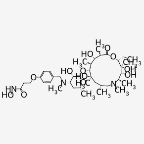 CC[C@H]1OC(=O)[C@H](C)[C@@H](O)[C@H](C)[C@@H](O[C@@H]2O[C@H](C)C[C@H](N(C)Cc3ccc(OCCC(=O)NO)cc3)[C@@H]2O)[C@](C)(O)C[C@@H](C)CN(C)[C@H](C)[C@@H](O)[C@]1(C)O